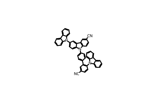 N#Cc1ccc(-n2c3ccccc3c3ccccc32)c(-c2ccc(-n3c4ccc(C#N)cc4c4cc(-n5c6ccccc6c6ccccc65)ccc43)cc2)c1